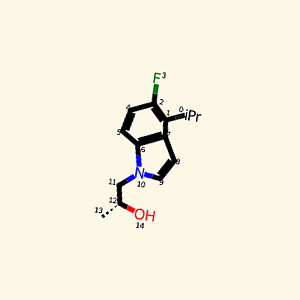 CC(C)c1c(F)ccc2c1ccn2C[C@@H](C)O